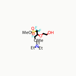 CCN(CC)CC.COC(F)C(OCCO)C(F)(F)S(=O)(=O)OC